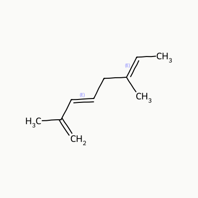 C=C(C)/C=C/C/C(C)=C/C